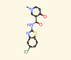 Cn1ccc(=O)c(C(=O)Nc2nc3cc(Cl)ccc3s2)c1